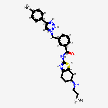 COCCNC1CCc2nc(NC(=O)c3cccc(Cn4cc(-c5ccc(C#N)cc5)nn4)c3)sc2C1